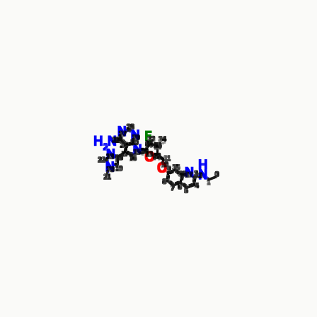 CCNc1ccc2ccc(OC[C@H]3O[C@@H](n4cc(-c5cn(C)cn5)c5c(N)ncnc54)[C@@H](F)[C@@H]3C)cc2n1